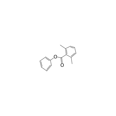 Cc1cccc(C)c1C(=O)Oc1ccccc1